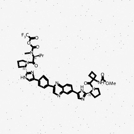 COC(=O)NC1(C(=O)N2CCC[C@H]2c2ncc(-c3ccc4nc(-c5ccc(-c6c[nH]c([C@@H]7CCCN7C(=O)[C@H](C(C)C)N(C)C(=O)OC(=O)C(F)(F)F)n6)cc5)cnc4c3)[nH]2)CCC1